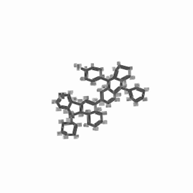 Fc1ccc(-c2c3ccccc3c(-c3ccccc3)c3ccc(-c4cc5c6cnccc6n(-c6ccccc6)c5c5ccccc45)cc23)cc1